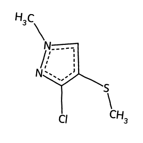 CSc1cn(C)nc1Cl